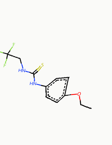 CCOc1ccc(NC(=S)NCC(F)(F)F)cc1